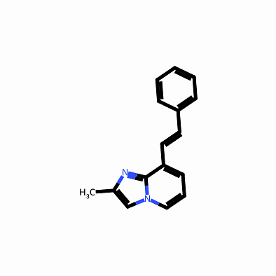 Cc1cn2cccc(C=Cc3ccccc3)c2n1